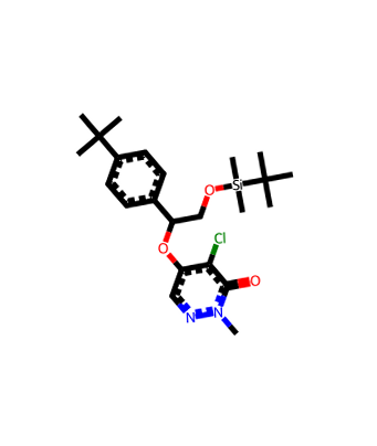 Cn1ncc(OC(CO[Si](C)(C)C(C)(C)C)c2ccc(C(C)(C)C)cc2)c(Cl)c1=O